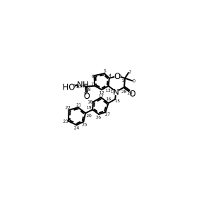 CC1(C)Oc2ccc(C(=O)NO)cc2N(Cc2ccc(-c3ccccc3)cc2)C1=O